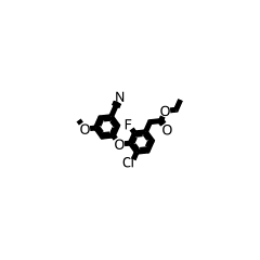 CCOC(=O)Cc1ccc(Cl)c(Oc2cc(C#N)cc(OC)c2)c1F